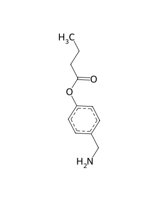 CCCC(=O)Oc1ccc(CN)cc1